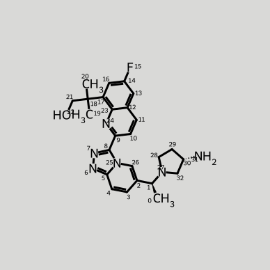 C[C@@H](c1ccc2nnc(-c3ccc4cc(F)cc(C(C)(C)CO)c4n3)n2c1)N1CC[C@H](N)C1